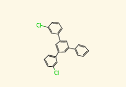 Clc1cccc(-c2cc(-c3ccccc3)cc(-c3cccc(Cl)c3)c2)c1